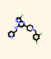 Clc1ccc(CN2CCC(c3cc(NCc4cccnc4)n4ncc(Br)c4n3)CC2)c(Cl)c1